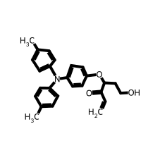 C=CC(=O)C(CCO)Oc1ccc(N(c2ccc(C)cc2)c2ccc(C)cc2)cc1